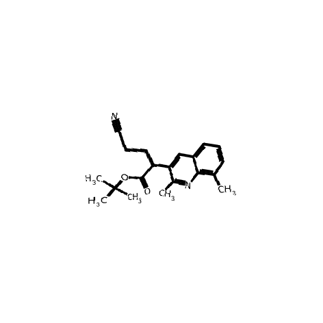 Cc1nc2c(C)cccc2cc1C(CCC#N)C(=O)OC(C)(C)C